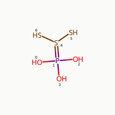 OP(O)(O)=S(S)S